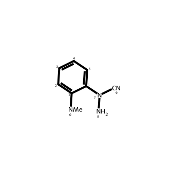 CNc1ccccc1N(N)C#N